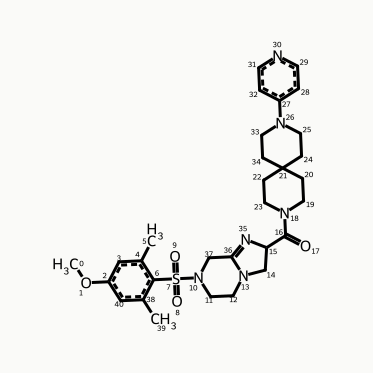 COc1cc(C)c(S(=O)(=O)N2CCN3CC(C(=O)N4CCC5(CC4)CCN(c4ccncc4)CC5)N=C3C2)c(C)c1